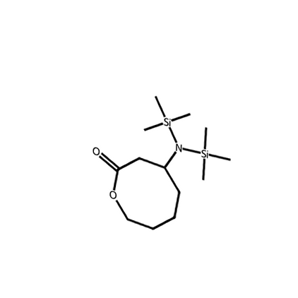 C[Si](C)(C)N(C1CCCCOC(=O)C1)[Si](C)(C)C